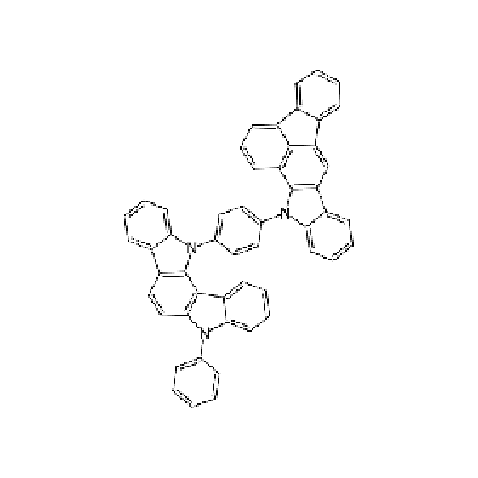 c1ccc(-n2c3ccccc3c3c2ccc2c4ccccc4n(-c4ccc(-n5c6ccccc6c6cc7c8c(cccc8c65)-c5ccccc5-7)cc4)c23)cc1